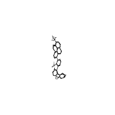 CC1(C)c2ccc3oc4ccccc4c3c2-c2cccc(-c3ccc4ccc5c([Si](C)(C)C)ccc6ccc3c4c65)c21